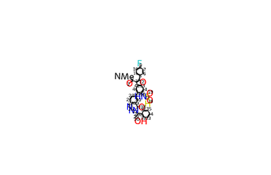 CNC(=O)c1c(-c2ccc(F)cc2)oc2cc(N[SH](=O)=O)c(-c3ccc4nnn(C(CO)c5ccccc5)c(=O)c4c3)cc12